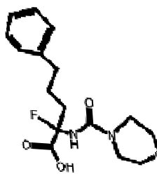 O=C(NC(F)(CCCc1ccccc1)C(=O)O)N1CCOCC1